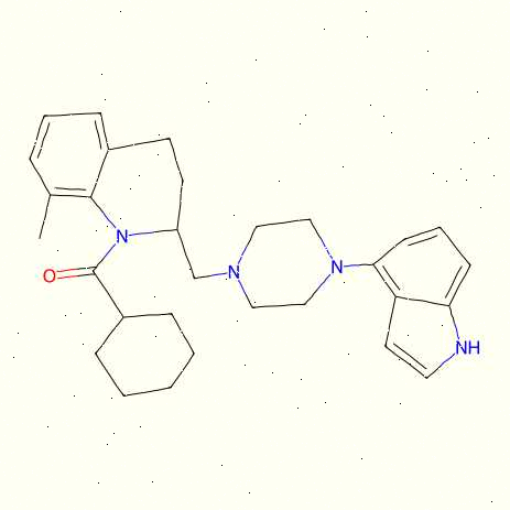 Cc1cccc2c1N(C(=O)C1CCCCC1)C(CN1CCN(c3cccc4[nH]ccc34)CC1)CC2